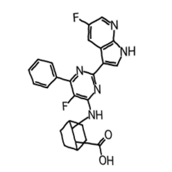 O=C(O)C1C2CCC(CC2)C1Nc1nc(-c2c[nH]c3ncc(F)cc23)nc(-c2ccccc2)c1F